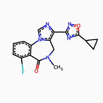 CN1Cc2c(-c3noc(C4CC4)n3)ncn2-c2cccc(F)c2C1=O